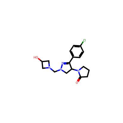 O=C1CCCN1C1CN([C]N2CC(O)C2)N=C1c1ccc(Cl)cc1